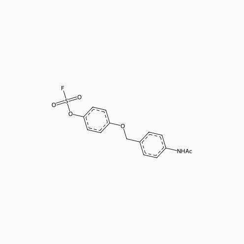 CC(=O)Nc1ccc(COc2ccc(OS(=O)(=O)F)cc2)cc1